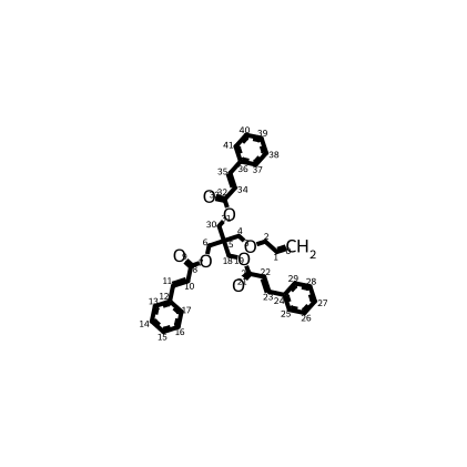 C=CCOCC(COC(=O)/C=C/c1ccccc1)(COC(=O)/C=C/c1ccccc1)COC(=O)/C=C/c1ccccc1